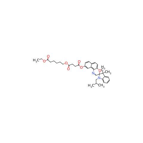 CCOC(=O)CCCCCOC(=O)CCC(=O)Oc1ccc2ccc3c(c2c1)N=CC1(O3)N(CC(C)C)c2ccccc2C1(C)C